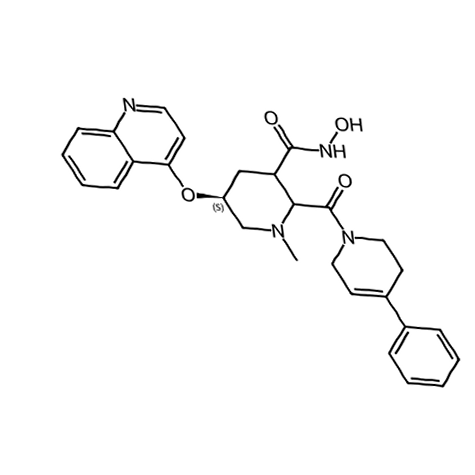 CN1C[C@@H](Oc2ccnc3ccccc23)CC(C(=O)NO)C1C(=O)N1CC=C(c2ccccc2)CC1